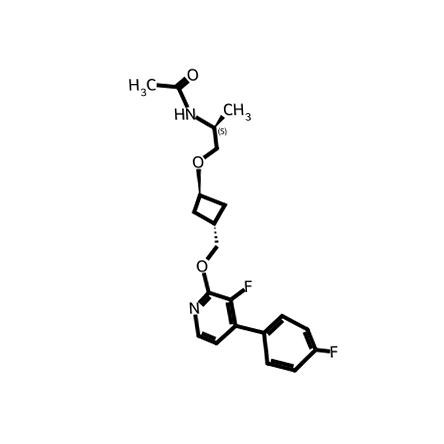 CC(=O)N[C@@H](C)CO[C@H]1C[C@H](COc2nccc(-c3ccc(F)cc3)c2F)C1